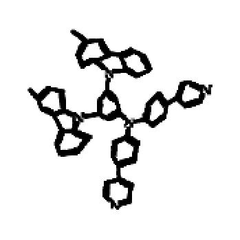 Cc1ccc2c(c1)c1ccccc1n2-c1cc(N(c2ccc(-c3ccncc3)cc2)c2ccc(-c3ccncc3)cc2)cc(-n2c3ccccc3c3cc(C)ccc32)c1